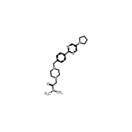 CN(C)C(=O)CN1CCN(Cc2ccc(-c3ncc(N4CCCC4)cn3)cc2)CC1